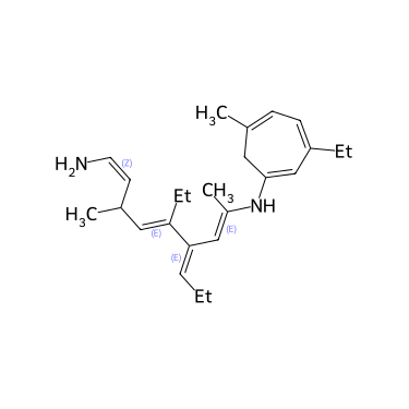 CC/C=C(\C=C(/C)NC1=CC(CC)=CC=C(C)C1)C(=C/C(C)/C=C\N)/CC